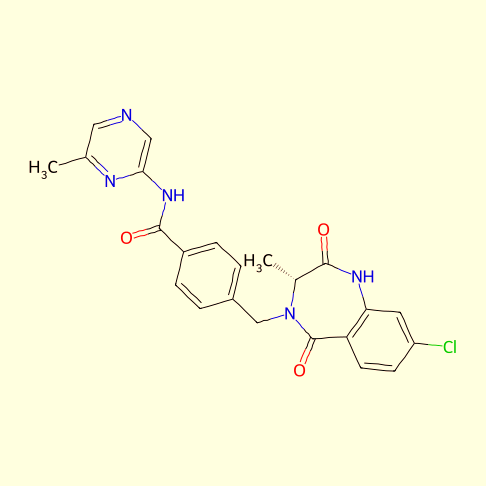 Cc1cncc(NC(=O)c2ccc(CN3C(=O)c4ccc(Cl)cc4NC(=O)[C@H]3C)cc2)n1